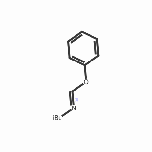 CCC(C)/N=C/Oc1ccccc1